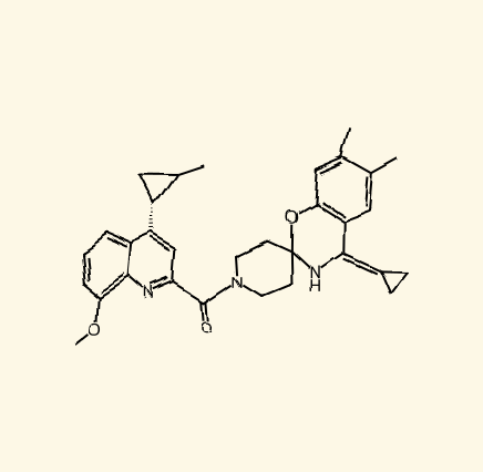 COc1cccc2c([C@@H]3CC3C)cc(C(=O)N3CCC4(CC3)NC(=C3CC3)c3cc(C)c(C)cc3O4)nc12